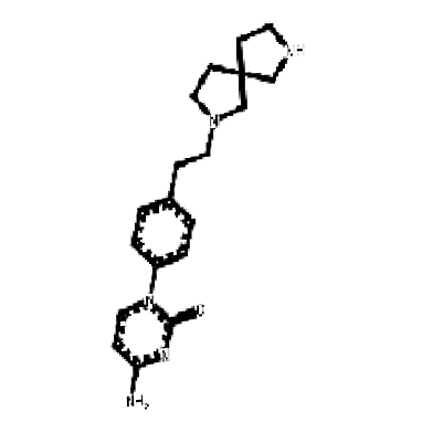 Nc1ccn(-c2ccc(CCN3CCC4(CCNC4)C3)cc2)c(=O)n1